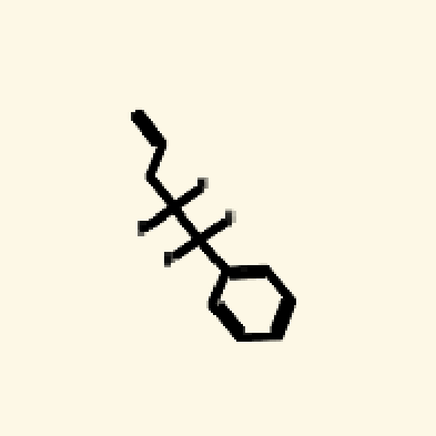 C=CCC(F)(F)C(F)(F)c1ccccc1